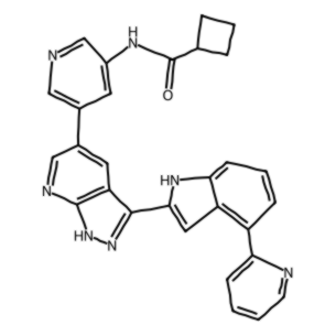 O=C(Nc1cncc(-c2cnc3[nH]nc(-c4cc5c(-c6ccccn6)cccc5[nH]4)c3c2)c1)C1CCC1